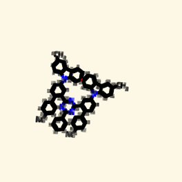 Cc1ccc2c(c1)c1ccccc1n2-c1ccc(-c2ccc(C#N)cc2)c(-c2nc(-c3ccccc3)nc(-c3cc(-n4c5ccccc5c5cc(C)ccc54)ccc3-c3ccc(C#N)cc3)n2)c1